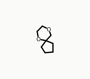 C1CCC2(C1)COCCO2